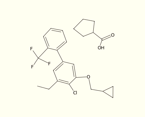 CCc1cc(-c2ccccc2C(F)(F)F)cc(OCC2CC2)c1Cl.O=C(O)C1CCCC1